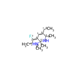 C=C/C(F)=C1/C=C(CC)C(C)NC1(C)NC